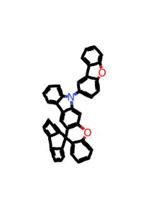 c1ccc2c(c1)Oc1cc3c(cc1C21c2ccccc2-c2ccccc21)c1ccccc1n3-c1ccc2oc3ccccc3c2c1